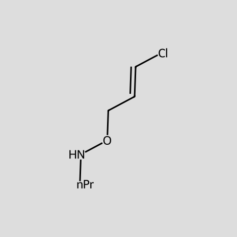 C[CH]CNOCC=CCl